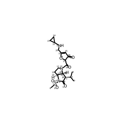 CC(C)[C@H]1C(=O)N(S(C)(=O)=O)[C@H]2CCN(C(=O)C3OC(CNC4CC4)=CC3=O)[C@H]12